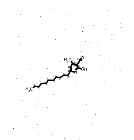 CCCCCCCCCCCc1cc(C)c(C#N)c(O)n1